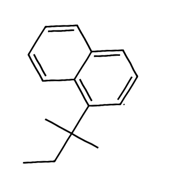 CCC(C)(C)c1[c]ccc2ccccc12